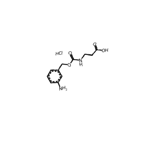 Cl.Nc1cccc(COC(=O)NCCC(=O)O)c1